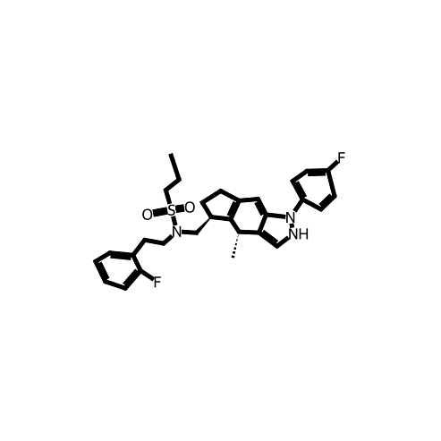 CCCS(=O)(=O)N(CCc1ccccc1F)C[C@H]1CCC2=C1[C@@H](C)C1=CNN(c3ccc(F)cc3)C1=C2